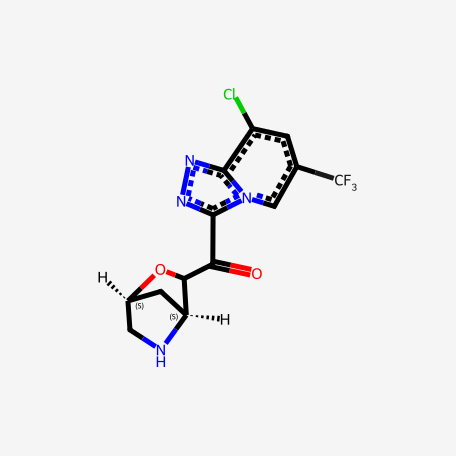 O=C(c1nnc2c(Cl)cc(C(F)(F)F)cn12)C1O[C@@H]2CN[C@H]1C2